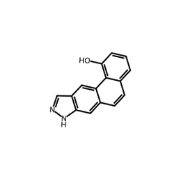 Oc1cccc2ccc3cc4[nH]ncc4cc3c12